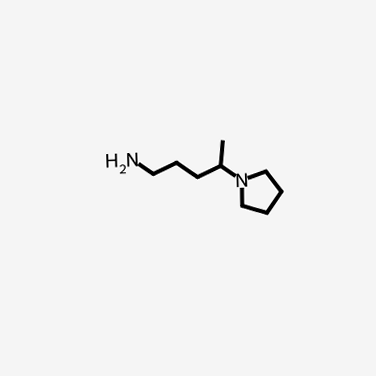 CC(CCCN)N1CCCC1